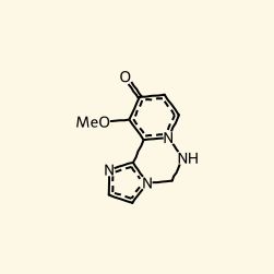 COc1c2n(ccc1=O)NCn1ccnc1-2